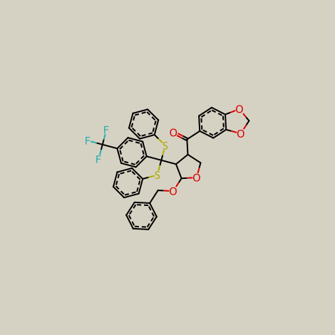 O=C(c1ccc2c(c1)OCO2)C1COC(OCc2ccccc2)C1C(Sc1ccccc1)(Sc1ccccc1)c1ccc(C(F)(F)F)cc1